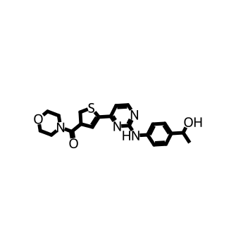 CC(O)c1ccc(Nc2nccc(C3=CC(C(=O)N4CCOCC4)CS3)n2)cc1